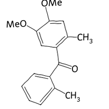 COc1cc(C)c(C(=O)c2ccccc2C)cc1OC